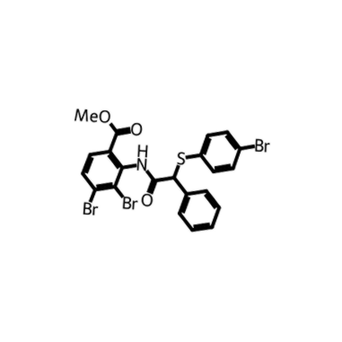 COC(=O)c1ccc(Br)c(Br)c1NC(=O)C(Sc1ccc(Br)cc1)c1ccccc1